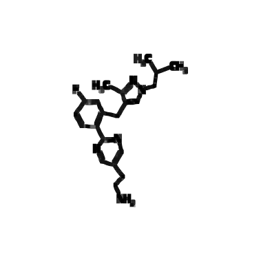 Cc1nn(CC(C)C)cc1Cc1cc(F)ccc1-c1ncc(CCN)cn1